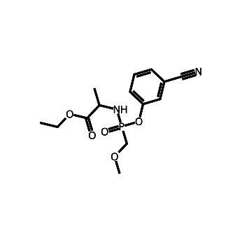 CCOC(=O)C(C)NP(=O)(COC)Oc1cccc(C#N)c1